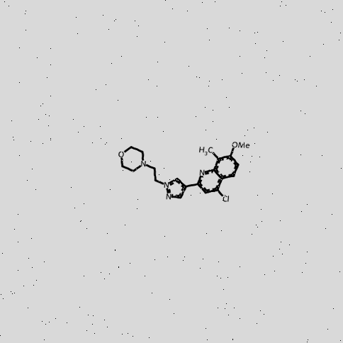 COc1ccc2c(Cl)cc(-c3cnn(CCN4CCOCC4)c3)nc2c1C